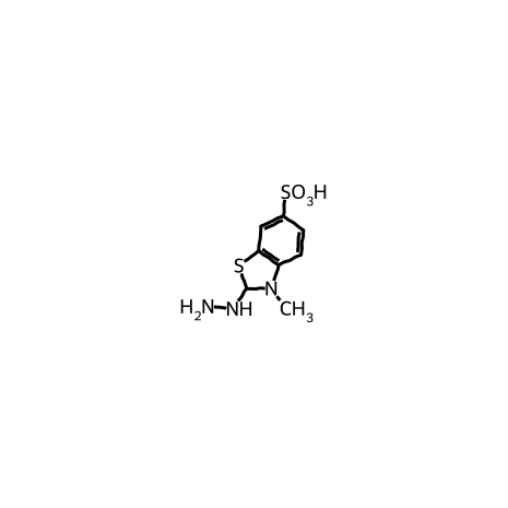 CN1c2ccc(S(=O)(=O)O)cc2SC1NN